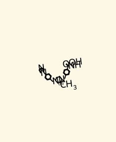 C[C@@H]1CN(Cc2ccc(-n3ccnc3)cc2)CCN1Cc1ccc(C(=O)NO)cc1